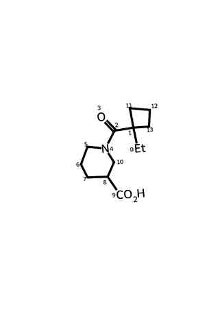 CCC1(C(=O)N2CCCC(C(=O)O)C2)CCC1